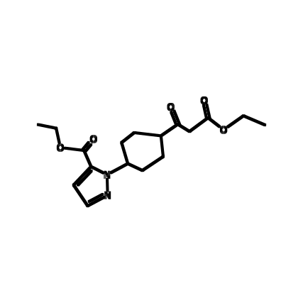 CCOC(=O)CC(=O)C1CCC(n2nccc2C(=O)OCC)CC1